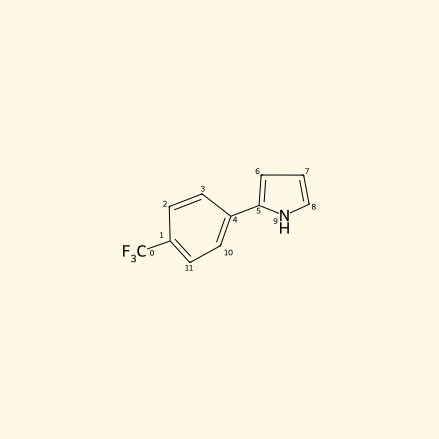 FC(F)(F)c1ccc(-c2ccc[nH]2)cc1